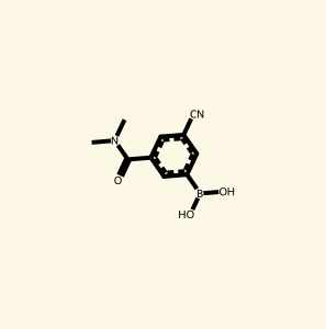 CN(C)C(=O)c1cc(C#N)cc(B(O)O)c1